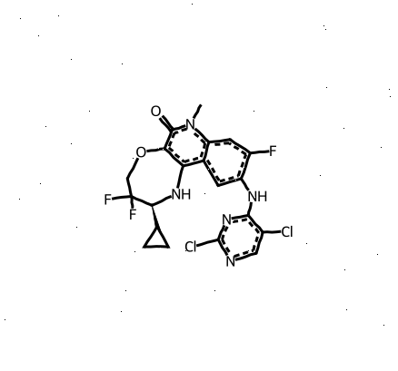 Cn1c(=O)c2c(c3cc(Nc4nc(Cl)ncc4Cl)c(F)cc31)N[C@@H](C1CC1)C(F)(F)CO2